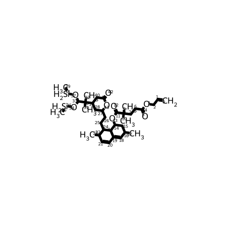 C=CCOC(=O)CCC(C)(C)C(=O)OC1CC(C)C=C2C=CC(C)C(CCC3CC(C(C)(C)C(O[SiH2]C)O[SiH2]C)CC(=O)O3)C21